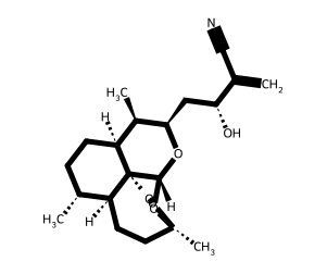 C=C(C#N)[C@H](O)C[C@H]1O[C@@H]2O[C@]3(C)CC[C@H]4[C@H](C)CC[C@@H]([C@H]1C)[C@@]24OO3